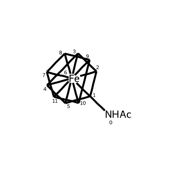 CC(=O)N[C]12[CH]3[CH]4[CH]5[CH]1[Fe]45321678[CH]2[CH]1[CH]6[CH]7[CH]28